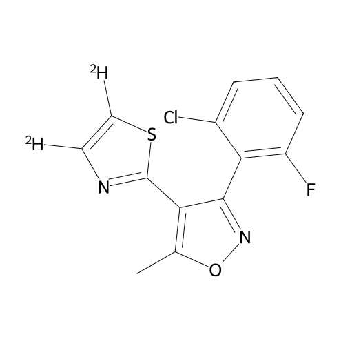 [2H]c1nc(-c2c(-c3c(F)cccc3Cl)noc2C)sc1[2H]